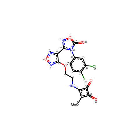 COc1c(NCCOc2nonc2-c2noc(=O)n2-c2ccc(F)c(Cl)c2)c(=O)c1=O